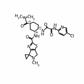 CN(C)C(=O)[C@H]1CC[C@H](NC(=O)C(=O)Nc2ccc(Cl)cn2)[C@H](NC(=O)c2nc3c(s2)CN(C)C32CC2)C1